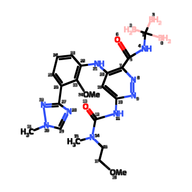 BC(B)(B)NC(=O)c1nnc(NC(=O)N(C)CCOC)cc1Nc1cccc(-c2ncn(C)n2)c1OC